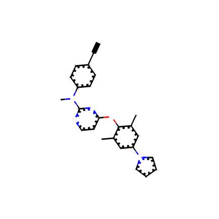 C#Cc1ccc(N(C)c2nccc(Oc3c(C)cc(-n4cccc4)cc3C)n2)cc1